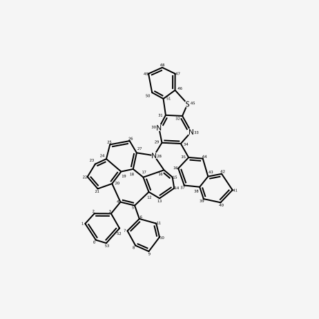 c1ccc(C2=C(c3ccccc3)c3cccc4c3c3c5c2cccc5ccc3n4-c2nc3c(nc2-c2ccc4ccccc4c2)sc2ccccc23)cc1